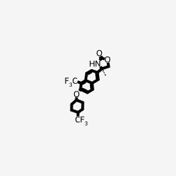 C[C@@]1(c2ccc3c(C(F)(F)F)c(OC4CCC(C(F)(F)F)CC4)ccc3c2)COC(=O)N1